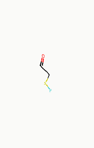 O=CCSF